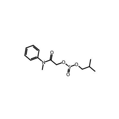 CC(C)COS(=O)OCC(=O)N(C)c1ccccc1